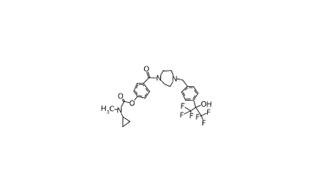 CN(C(=O)Oc1ccc(C(=O)N2CCN(Cc3ccc(C(O)(C(F)(F)F)C(F)(F)F)cc3)CC2)cc1)C1CC1